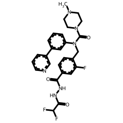 CN1CCN(C(=O)N(Cc2ccc(C(=O)NNC(=O)C(F)F)cc2F)c2cccc(-c3cccnc3)c2)CC1